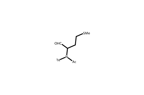 [2H]N(C(C)=O)C([C]=O)CCSC